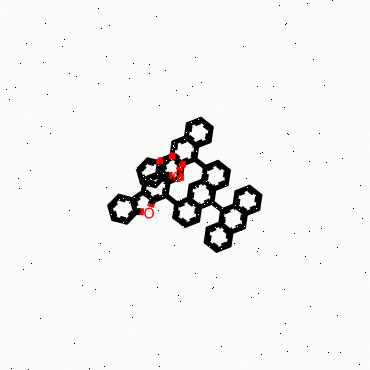 c1ccc2c(-c3c4cccc(-c5c6ccccc6cc6c5oc5ccccc56)c4cc4c(-c5c6ccccc6cc6c5oc5ccccc56)cccc34)c3ccccc3cc2c1